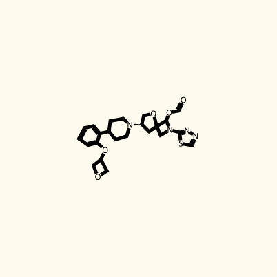 O=COC1N(c2nncs2)CC12C[C@H](N1CCC(c3ccccc3OC3COC3)CC1)CO2